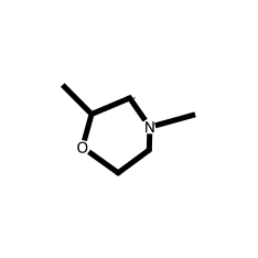 CC1[CH]N(C)CCO1